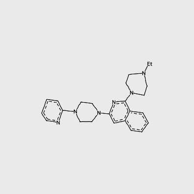 CCN1CCN(c2nc(N3CCN(c4ccccn4)CC3)cc3ccccc23)CC1